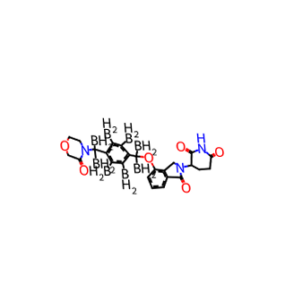 Bc1c(B)c(C(B)(B)N2CCOCC2=O)c(B)c(B)c1C(B)(B)Oc1cccc2c1CN(C1CCC(=O)NC1=O)C2=O